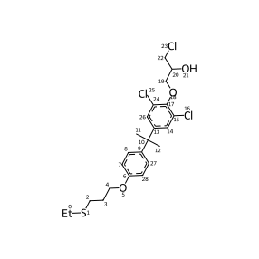 CCSCCCOc1ccc(C(C)(C)c2cc(Cl)c(OCC(O)CCl)c(Cl)c2)cc1